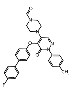 Cc1ccc(-n2ncc(N3CCN(C=O)CC3)c(Oc3ccc(-c4ccc(F)cc4)cc3)c2=O)cc1